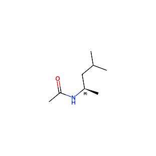 CC(=O)N[C@H](C)CC(C)C